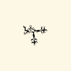 CCCC(C)(Br)OP(=O)(OCC#C[Si](C)(C)C(C)(C)C)OCC#C[Si](C)(C)C(C)(C)C